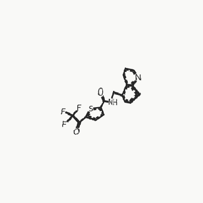 O=C(NCc1cccc2ncccc12)c1ccc(C(=O)C(F)(F)F)s1